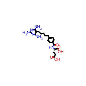 Nc1nc(N)c(CCCCCc2ccc(C(=O)N[C@@H](CCC(=O)O)C(=O)O)cc2)c(N)n1